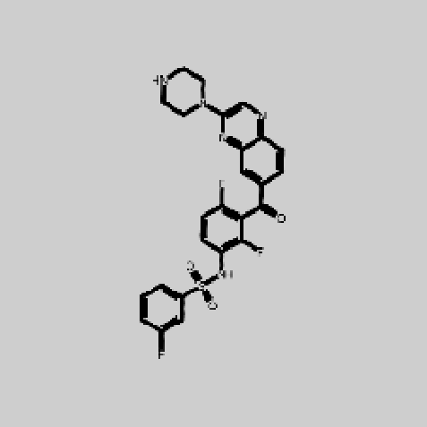 O=C(c1ccc2ncc(N3CCNCC3)nc2c1)c1c(F)ccc(NS(=O)(=O)c2cccc(F)c2)c1F